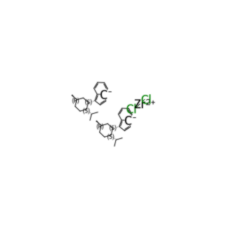 CC(C)[C@@H]1CC[C@@H](C)C[C@@H]1c1cc[c-]2ccccc12.CC(C)[C@@H]1CC[C@@H](C)C[C@@H]1c1cc[c-]2ccccc12.[Cl][Zr+2][Cl]